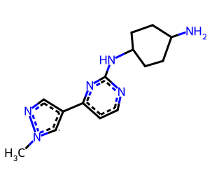 Cn1[c]c(-c2ccnc(NC3CCC(N)CC3)n2)cn1